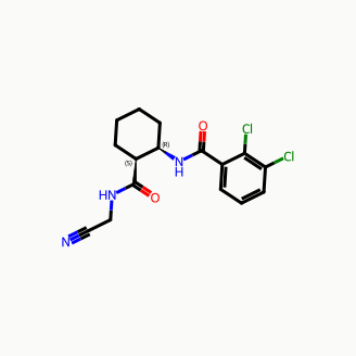 N#CCNC(=O)[C@H]1CCCC[C@H]1NC(=O)c1cccc(Cl)c1Cl